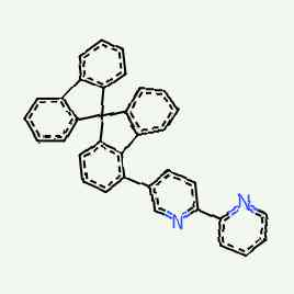 c1ccc(-c2ccc(-c3cccc4c3-c3ccccc3C43c4ccccc4-c4ccccc43)cn2)nc1